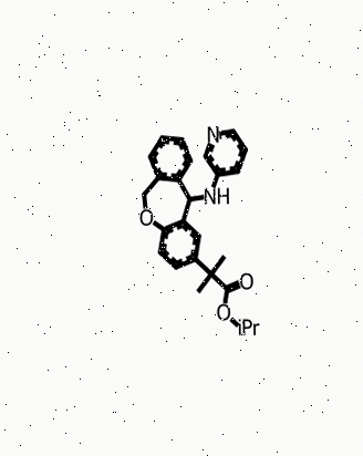 CC(C)OC(=O)C(C)(C)c1ccc2c(c1)C(Nc1cccnc1)c1ccccc1CO2